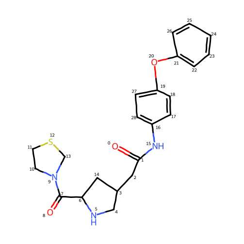 O=C(CC1CNC(C(=O)N2CCSC2)C1)Nc1ccc(Oc2ccccc2)cc1